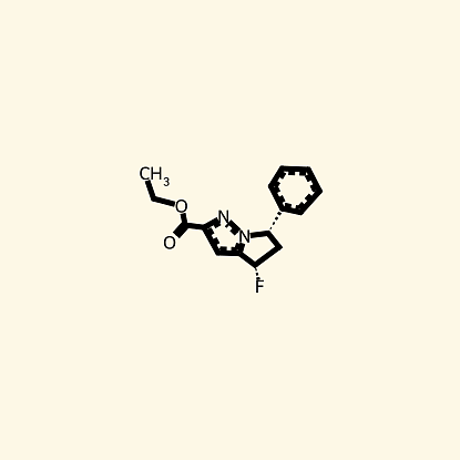 CCOC(=O)c1cc2n(n1)[C@H](c1ccccc1)C[C@@H]2F